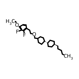 CCCCC[C@H]1CC[C@H](C2CCC(COCCc3ccc(OCC)c(F)c3F)CC2)CC1